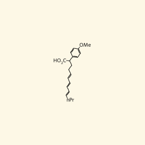 CCCC=CC=CC=CCCC(C(=O)O)c1ccc(OC)cc1